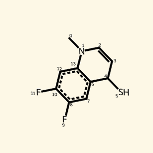 CN1C=CC(S)c2cc(F)c(F)cc21